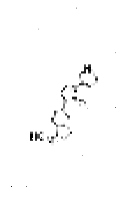 O=C1N(c2cccnc2)CCN1c1ccc2c(c1)CC/C2=N/O